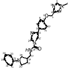 Cn1cnc(COc2ccc(-c3cn(C(=O)NCC4CCN(c5ccccc5)C4)cn3)cc2)n1